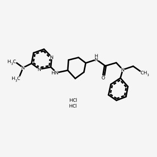 CCN(CC(=O)NC1CCC(Nc2nccc(N(C)C)n2)CC1)c1ccccc1.Cl.Cl